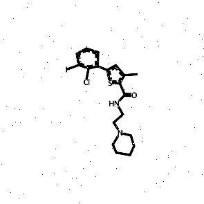 Cc1cc(-c2cccc(I)c2Cl)sc1C(=O)NCCN1CCCCC1